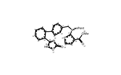 CCCCCN(Cc1ccc(-c2ccccc2-c2nc(=O)o[nH]2)cc1)c1sccc1C(=O)OC